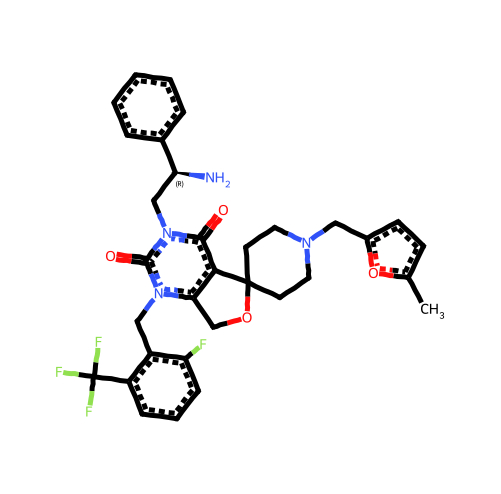 Cc1ccc(CN2CCC3(CC2)OCc2c3c(=O)n(C[C@H](N)c3ccccc3)c(=O)n2Cc2c(F)cccc2C(F)(F)F)o1